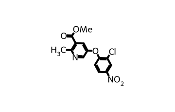 COC(=O)c1cc(Oc2ccc([N+](=O)[O-])cc2Cl)cnc1C